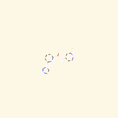 O=C(Nc1ccnc(C(F)F)c1)c1cccc(-n2ccnc2)n1